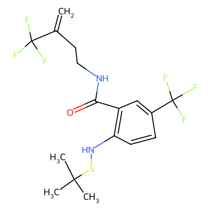 C=C(CCNC(=O)c1cc(C(F)(F)F)ccc1NSC(C)(C)C)C(F)(F)F